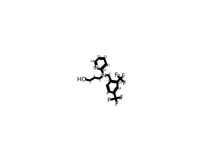 OCCCN(Cc1ccc(C(F)(F)F)cc1C(F)(F)F)c1ccccn1